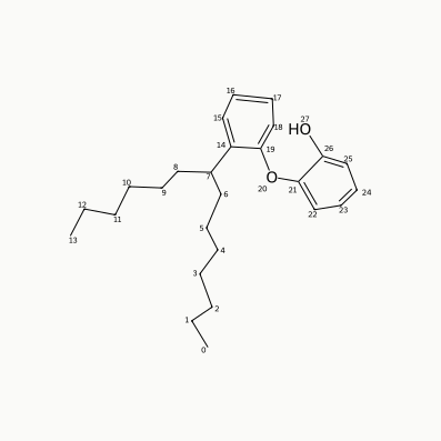 CCCCCCCC(CCCCCC)c1ccccc1Oc1ccccc1O